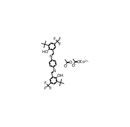 CC(=O)[O-].CC(=O)[O-].CC(C)(C)c1cc(C(F)(F)F)cc(C=Nc2ccc(N=Cc3cc(C(F)(F)F)cc(C(C)(C)C)c3O)cc2)c1O.[Co+2]